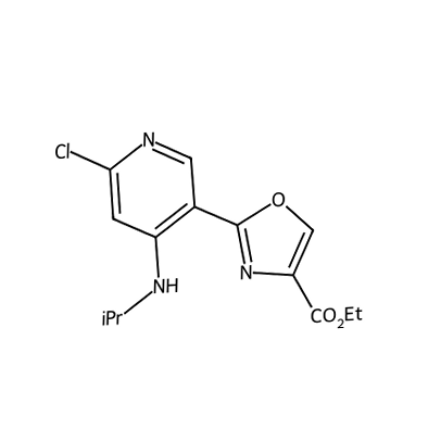 CCOC(=O)c1coc(-c2cnc(Cl)cc2NC(C)C)n1